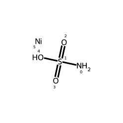 NS(=O)(=O)O.[Ni]